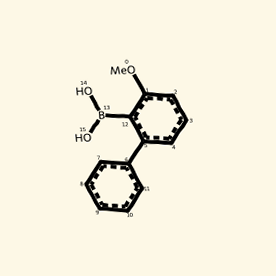 COc1cccc(-c2ccccc2)c1B(O)O